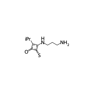 CC(C)c1c(NCCCN)c(=S)c1=O